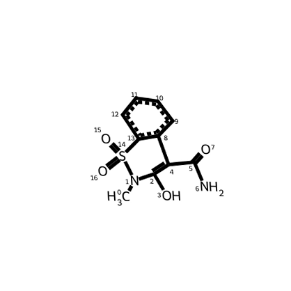 CN1C(O)=C(C(N)=O)c2ccccc2S1(=O)=O